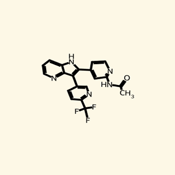 CC(=O)Nc1cc(-c2[nH]c3cccnc3c2-c2ccc(C(F)(F)F)nc2)ccn1